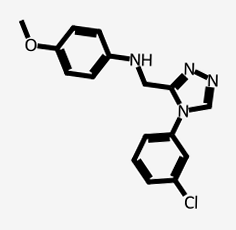 COc1ccc(NCc2nncn2-c2cccc(Cl)c2)cc1